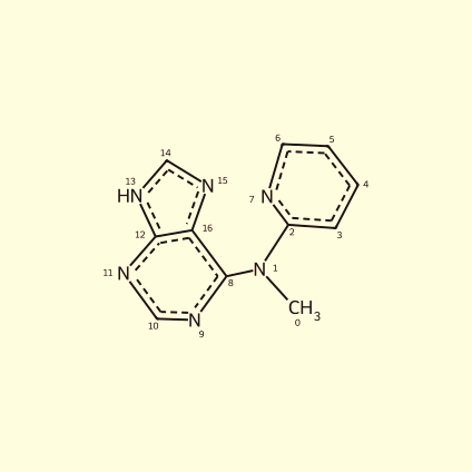 CN(c1ccccn1)c1ncnc2[nH]cnc12